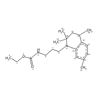 CCOC(=O)NCCCN1c2cc(C)ccc2C(C)CC1(C)C